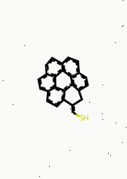 SC=C1Cc2ccc3ccc4ccc5ccc6ccc1c1c2c3c4c5c61